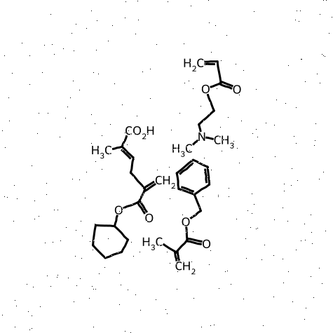 C=C(C)C(=O)OCc1ccccc1.C=C(CC=C(C)C(=O)O)C(=O)OC1CCCCC1.C=CC(=O)OCCN(C)C